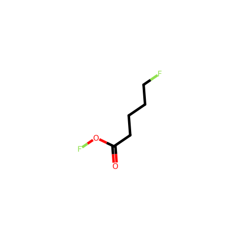 O=C(CCCCF)OF